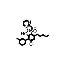 CCCCCc1cc(O)c(C2C=C(C)CCC2)c(O)c1S(=O)(=O)Nc1ncccn1